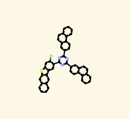 Clc1cc2sc3cc4ccccc4cc3c2cc1-c1nc(-c2ccc3c(ccc4ccccc43)c2)nc(-c2ccc3c(ccc4ccccc43)c2)n1